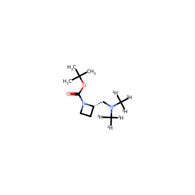 [2H]C([2H])([2H])N(C[C@@H]1CCN1C(=O)OC(C)(C)C)C([2H])([2H])[2H]